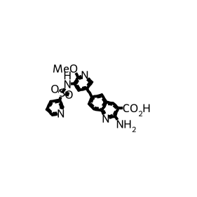 COc1ncc(-c2ccc3nc(N)c(C(=O)O)cc3c2)cc1NS(=O)(=O)c1cccnc1